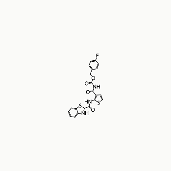 O=C(NC(=O)c1ccsc1NC(=O)C1Nc2ccccc2S1)OCc1ccc(F)cc1